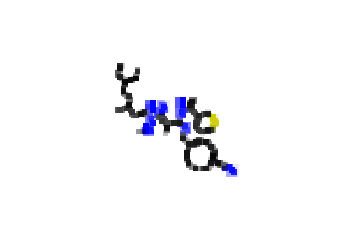 C=NN(CCC(C)CCC(CC)CC)/C(N)=C(C)/C(=N\C/C1=C/C/C=C(/C#N)CCCC1)NC(=C)C1=CC=CSC1